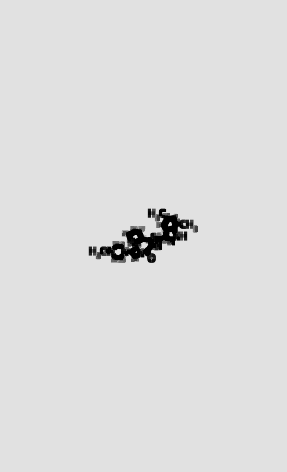 Cc1cc(C)c2[nH]nc(-c3nc(C(=O)N4CC(N5CCN(C)CC5)C4)c(-c4cccnc4)s3)c2c1